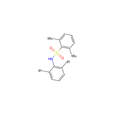 CC(C)c1cccc(C(C)C)c1NS(=O)(=O)c1c(C(C)(C)C)cccc1C(C)(C)C